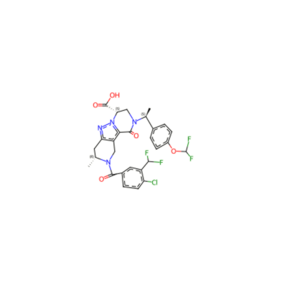 C[C@@H]1Cc2nn3c(c2CN1C(=O)c1ccc(Cl)c(C(F)F)c1)C(=O)N([C@@H](C)c1ccc(OC(F)F)cc1)C[C@H]3C(=O)O